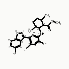 COC(=O)C1C(C)CCC(C)C1Nc1nc(-c2n[nH]c3ncc(F)cc23)c(F)cc1F